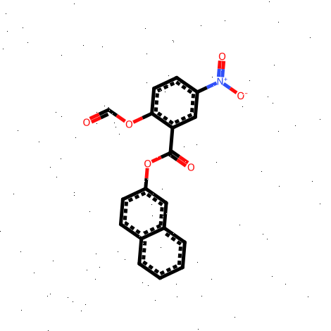 O=[C]Oc1ccc([N+](=O)[O-])cc1C(=O)Oc1ccc2ccccc2c1